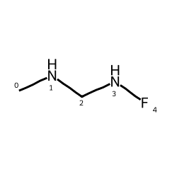 CNCNF